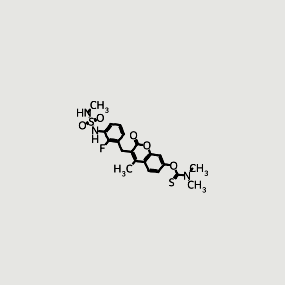 CNS(=O)(=O)Nc1cccc(Cc2c(C)c3ccc(OC(=S)N(C)C)cc3oc2=O)c1F